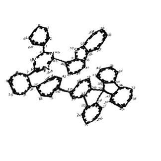 c1ccc(-c2nc(-c3ccccc3-c3ccc(-c4ccc5c(c4)-c4ccccc4C54c5ccccc5-c5ccccc54)cc3)nc(-c3cccc4c3sc3ccccc34)n2)cc1